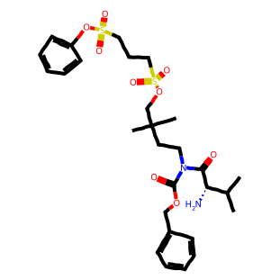 CC(C)[C@H](N)C(=O)N(CCC(C)(C)COS(=O)(=O)CCCS(=O)(=O)Oc1ccccc1)C(=O)OCc1ccccc1